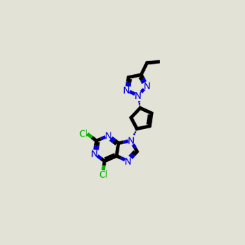 CCc1cnn([C@@H]2C=C[C@H](n3cnc4c(Cl)nc(Cl)nc43)C2)n1